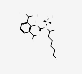 CCCCCCC(C)N(C(=O)Nc1c(C(C)C)cccc1C(C)C)S(=O)(=O)O